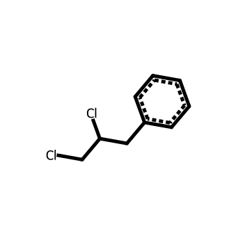 ClCC(Cl)Cc1ccccc1